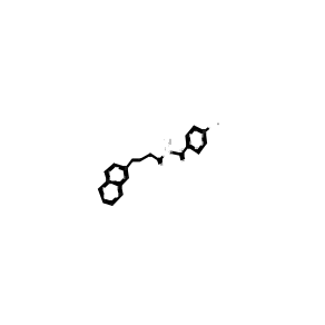 NN(C(=O)CCCc1ccc2ccccc2c1)C(=O)c1ccc(O)cc1